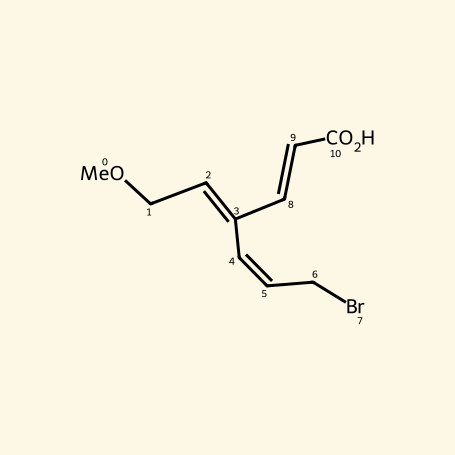 COC/C=C(\C=C/CBr)/C=C/C(=O)O